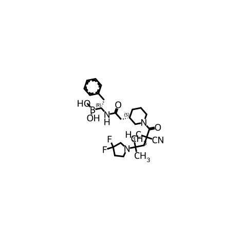 CC(C#N)(CC(C)(C)N1CCC(F)(F)C1)C(=O)N1CCC[C@@H](CC(=O)N[C@@H](Cc2ccccc2)B(O)O)C1